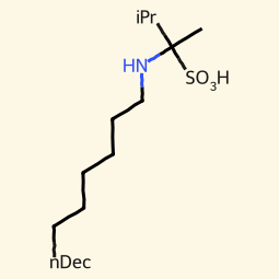 CCCCCCCCCCCCCCCCNC(C)(C(C)C)S(=O)(=O)O